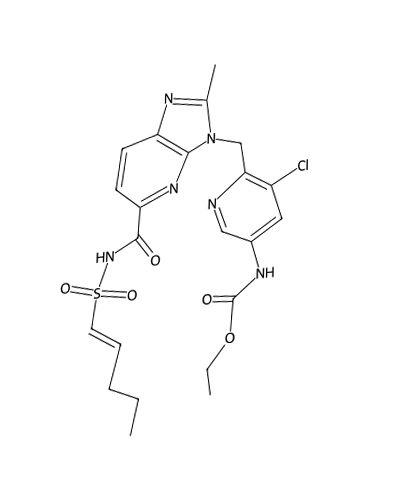 CCCC=CS(=O)(=O)NC(=O)c1ccc2nc(C)n(Cc3ncc(NC(=O)OCC)cc3Cl)c2n1